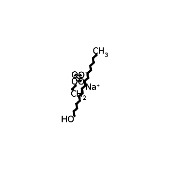 C=CCOS(=O)(=O)[O-].CCCCCCCCCCCCCCCCCCO.[Na+]